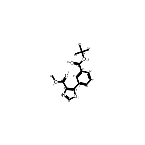 COC(=O)c1ncoc1-c1cccc(C(=O)OC(C)(C)C)c1